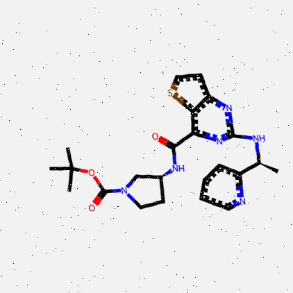 C[C@H](Nc1nc(C(=O)N[C@H]2CCN(C(=O)OC(C)(C)C)C2)c2sccc2n1)c1ccccn1